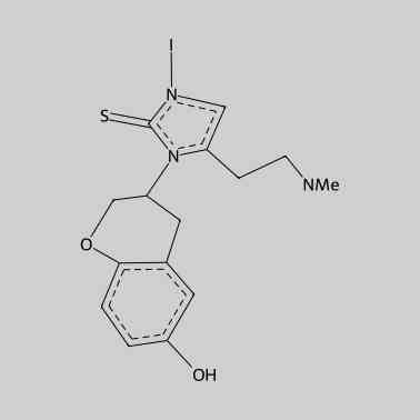 CNCCc1cn(I)c(=S)n1C1COc2ccc(O)cc2C1